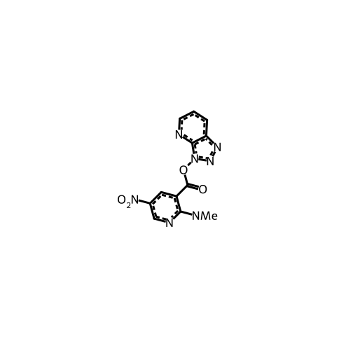 CNc1ncc([N+](=O)[O-])cc1C(=O)On1nnc2cccnc21